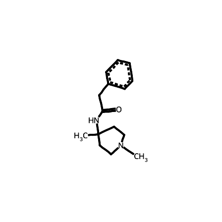 CN1CCC(C)(NC(=O)Cc2ccccc2)CC1